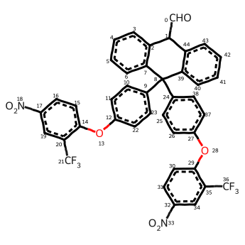 O=CC1c2ccccc2C(c2ccc(Oc3ccc([N+](=O)[O-])cc3C(F)(F)F)cc2)(c2ccc(Oc3ccc([N+](=O)[O-])cc3C(F)(F)F)cc2)c2ccccc21